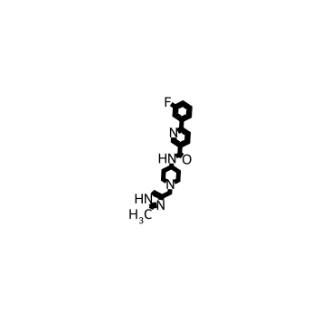 Cc1nc(CN2CCC(NC(=O)c3ccc(-c4cccc(F)c4)nc3)CC2)c[nH]1